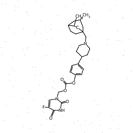 CC1CC2CCC(CN3CCC(c4ccc(OC(=O)OCn5cc(F)c(=O)[nH]c5=O)cc4)CC3)(C1)CC2C